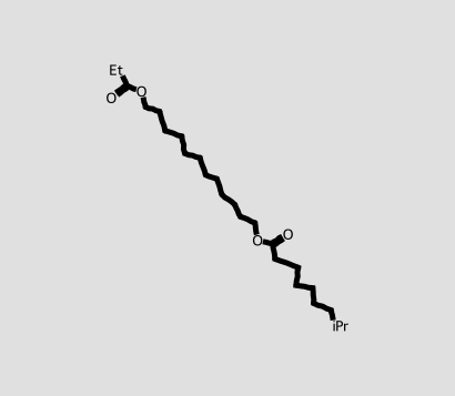 CCC(=O)OCCCCCCCCCCCCOC(=O)CCCCCCC(C)C